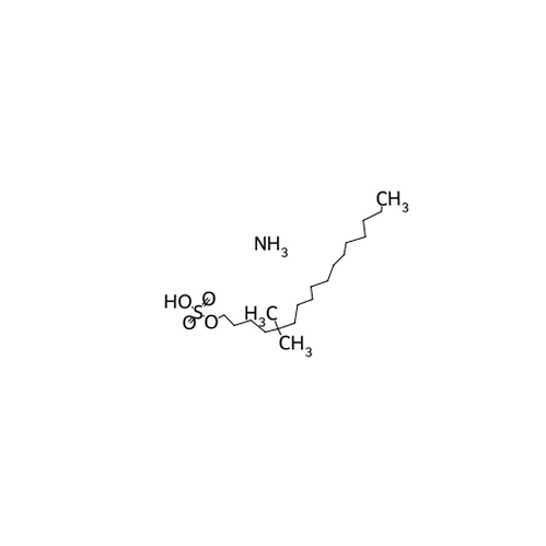 CCCCCCCCCCCCC(C)(C)CCCCOS(=O)(=O)O.N